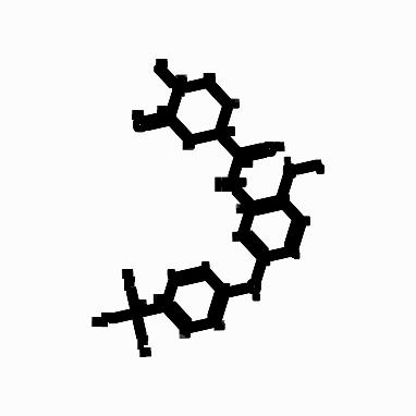 COc1ccc(Oc2ccc(C(F)(F)F)cc2)cc1NC(=O)C1CCN(C)C(=O)C1